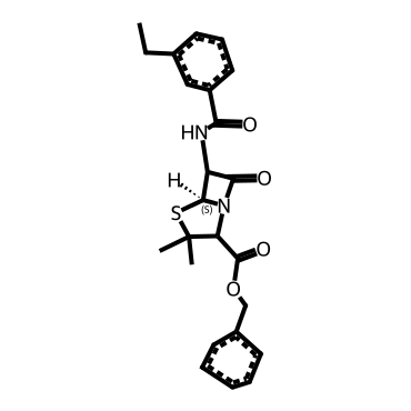 CCc1cccc(C(=O)NC2C(=O)N3C(C(=O)OCc4ccccc4)C(C)(C)S[C@@H]23)c1